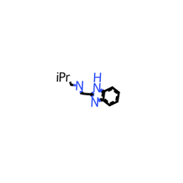 CC(C)C/N=C/c1nc2ccccc2[nH]1